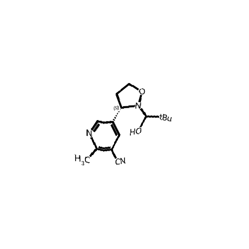 Cc1ncc([C@@H]2CCON2C(O)C(C)(C)C)cc1C#N